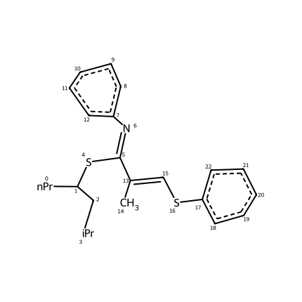 CCCC(CC(C)C)SC(=Nc1ccccc1)C(C)=CSc1ccccc1